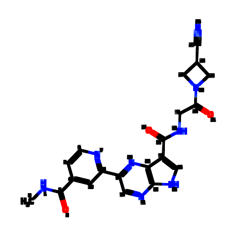 CNC(=O)c1ccnc(-c2cnc3[nH]cc(C(=O)NCC(=O)N4CC(C#N)C4)c3n2)c1